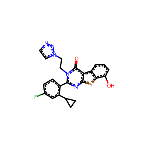 O=c1c2c(nc(-c3ccc(F)cc3C3CC3)n1CCn1ccnn1)sc1c(O)cccc12